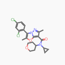 Cc1nn2c(-c3ccc(Cl)cc3Cl)c(C)oc2c1C(=O)N(C1CCOCC1)C1CC1